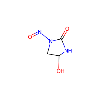 O=NN1CC(O)NC1=O